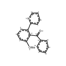 COc1ccnc(-c2ccccn2)c1C(=O)c1ccccc1